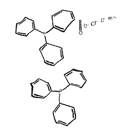 [C]=O.[Cl-].[Cl-].[Cl-].[Rh+3].c1ccc(P(c2ccccc2)c2ccccc2)cc1.c1ccc(P(c2ccccc2)c2ccccc2)cc1